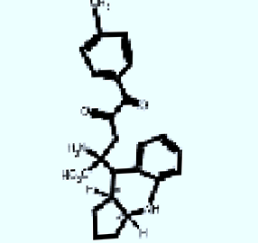 Cc1ccc(C(=O)C(=O)CC(N)(C(=O)O)C2c3ccccc3N[C@@H]3CCC[C@H]23)cc1